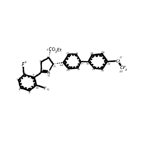 CCOC(=O)[C@H]1CC(c2c(F)cccc2F)=N[C@H]1c1ccc(-c2ccc(OC(F)(F)F)cc2)cc1